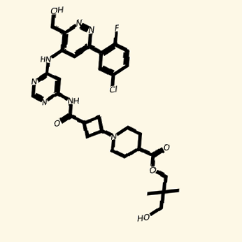 CC(C)(CO)COC(=O)C1CCN(C2CC(C(=O)Nc3cc(Nc4cc(-c5cc(Cl)ccc5F)nnc4CO)ncn3)C2)CC1